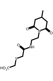 CC1CC(=O)N(CCNC(=O)CSCC(=O)O)C(=O)C1